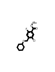 CC(C)(C)OC(=O)c1cc(Cl)c(COC2CCCCC2)cc1F